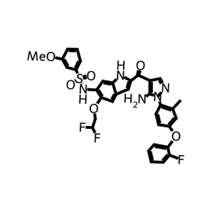 COc1cccc(S(=O)(=O)Nc2cc3[nH]c(C(=O)c4cnn(-c5ccc(Oc6ccccc6F)cc5C)c4N)cc3cc2OCC(F)F)c1